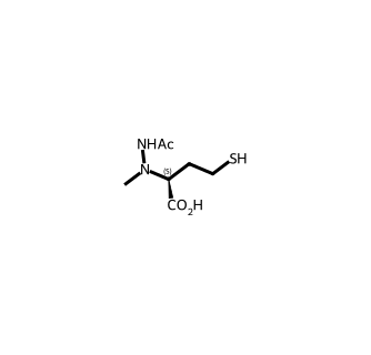 CC(=O)NN(C)[C@@H](CCS)C(=O)O